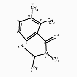 CCCC(CCC)N(C)C(=O)c1cccc(C)c1C